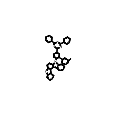 Cc1cccc(-c2cc(-c3nc(-c4ccccc4)nc(-c4ccccc4)n3)ccc2-n2c3ccccc3c3c4c(ccc32)sc2ccccc24)c1